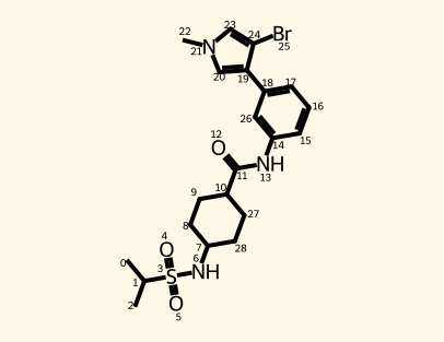 CC(C)S(=O)(=O)NC1CCC(C(=O)Nc2cccc(-c3cn(C)cc3Br)c2)CC1